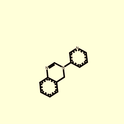 C1=Nc2ccccc2CN1c1cccnc1